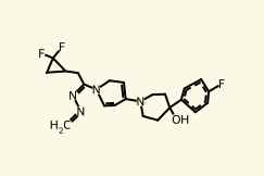 C=N/N=C(/CC1CC1(F)F)N1C=CC(N2CCC(O)(c3ccc(F)cc3)CC2)=CC1